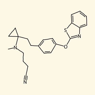 CN(CCCC#N)C1(CCc2ccc(Oc3nc4ccccc4s3)cc2)CC1